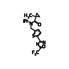 CC(C)N(Cc1ccc(-c2noc(C(F)(F)F)n2)s1)C(=O)C1(C)CC1